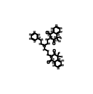 CC1(C)C(=O)N(CCCN(CCc2ccccc2)CCN2C(=O)c3ccccc3C(C)(C)C2=O)C(=O)c2ccccc21